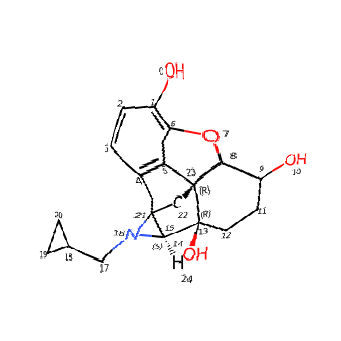 Oc1ccc2c3c1OC1C(O)CC[C@]4(O)[C@H]5N(CC6CC6)C25C[C@@]314